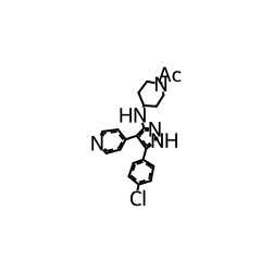 CC(=O)N1CCC(Nc2n[nH]c(-c3ccc(Cl)cc3)c2-c2ccncc2)CC1